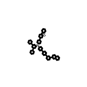 c1ccc(-c2cc(-c3ccccc3)cc(N(c3ccc(-c4ccc(-c5cccc(-c6ccc7ccccc7c6)c5)cc4)cc3)c3ccc(-c4ccc5c(c4)sc4ccccc45)cc3)c2)cc1